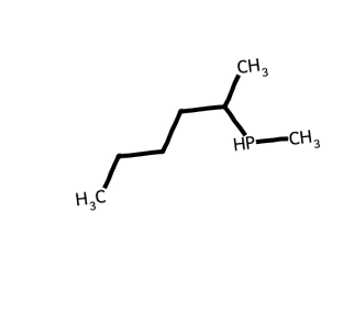 CCCCC(C)PC